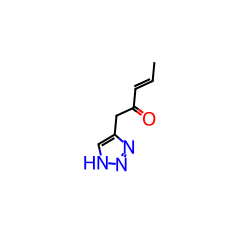 CC=CC(=O)Cc1c[nH]nn1